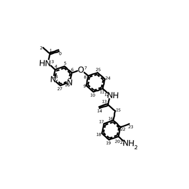 C=C(C)Nc1cc(Oc2ccc(NC(=C)Cc3cccc(N)c3C)cc2)ncn1